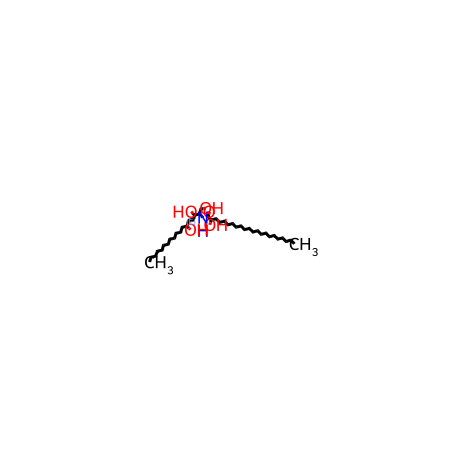 CCCCCCCCCCCCCCCCCCCCC(O)C(=O)NC(CO)C(O)/C=C/C(O)CCCCCCCCCCCC